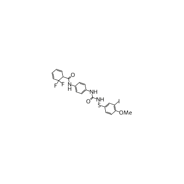 COc1ccc(SNC(=O)Nc2ccc(NC(=O)C3C=CC=CC3(F)F)cc2)cc1I